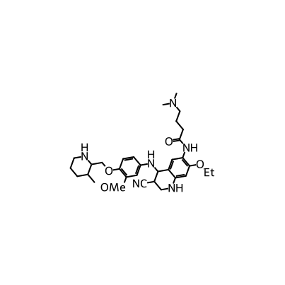 CCOc1cc2c(cc1NC(=O)CCCN(C)C)C(Nc1ccc(OCC3NCCCC3C)c(OC)c1)C(C#N)CN2